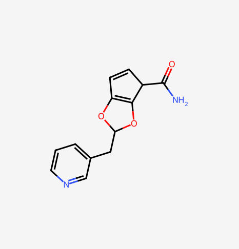 NC(=O)C1C=CC2=C1OC(Cc1cccnc1)O2